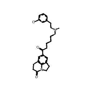 CN(CCCCCC(=O)c1cc2c3c(c1)CCN3C(=O)CC2)CCc1cccc(Cl)c1